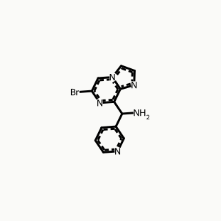 NC(c1cccnc1)c1nc(Br)cn2ccnc12